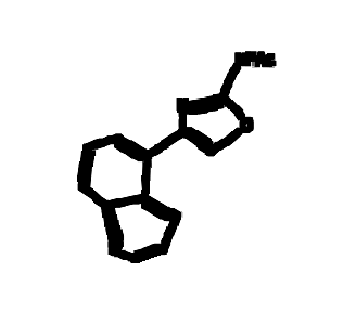 CC(=O)Nc1nc(-c2cccc3ccccc23)co1